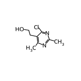 Cc1nc(C)c(CCO)c(Cl)n1